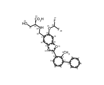 Cc1c(-c2ccccc2)cccc1-c1nc2cc(CN[C@@H](CO)C(=O)O)c(OC(F)F)cc2o1